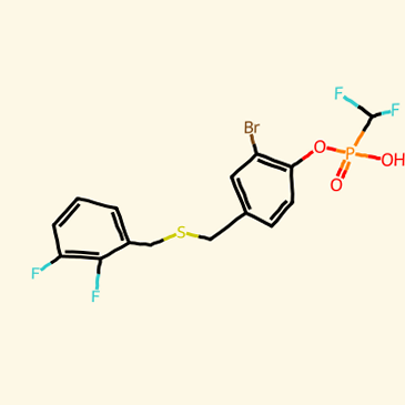 O=P(O)(Oc1ccc(CSCc2cccc(F)c2F)cc1Br)C(F)F